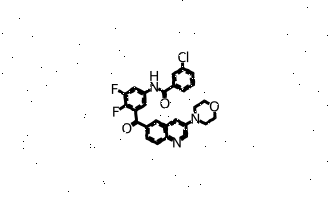 O=C(Nc1cc(F)c(F)c(C(=O)c2ccc3ncc(N4CCOCC4)cc3c2)c1)c1cccc(Cl)c1